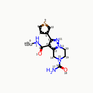 CC(C)(C)NC(=O)c1c(-c2ccsc2)nn2c1CN(C(N)=O)CC2